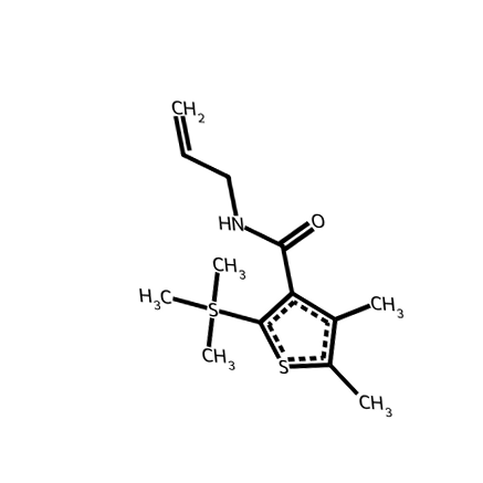 C=CCNC(=O)c1c(S(C)(C)C)sc(C)c1C